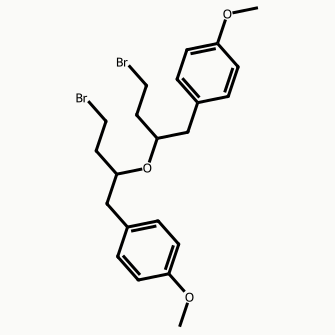 COc1ccc(CC(CCBr)OC(CCBr)Cc2ccc(OC)cc2)cc1